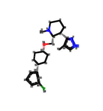 CCN1CCC[C@H](c2n[nH]cc2C)[C@@H]1CO[C@H]1CC[C@@H](c2cccc(F)c2)CC1